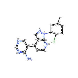 Cc1ccc(Cl)c(-n2ncc3c(-c4cncnc4N)ccnc32)c1